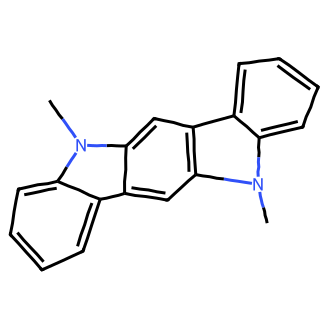 Cn1c2ccccc2c2cc3c(cc21)c1ccccc1n3C